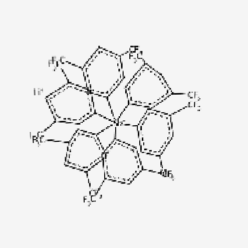 FC(F)(F)c1cc(C(F)(F)F)c[c]([Sb-]([c]2cc(C(F)(F)F)cc(C(F)(F)F)c2)([c]2cc(C(F)(F)F)cc(C(F)(F)F)c2)([c]2cc(C(F)(F)F)cc(C(F)(F)F)c2)([c]2cc(C(F)(F)F)cc(C(F)(F)F)c2)[c]2cc(C(F)(F)F)cc(C(F)(F)F)c2)c1.[Li+]